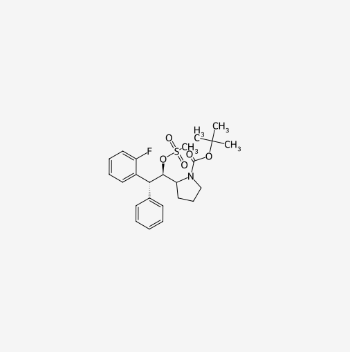 CC(C)(C)OC(=O)N1CCCC1[C@H](OS(C)(=O)=O)[C@H](c1ccccc1)c1ccccc1F